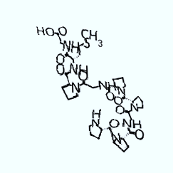 CSCC[C@H](NC(=O)[C@@H]1CCCN1C(=O)CNC(=O)[C@@H]1CCCN1C(=O)[C@@H]1CCCN1C(=O)CNC(=O)[C@@H]1CCCN1C(=O)[C@@H]1CCCN1)C(=O)NCC(=O)O